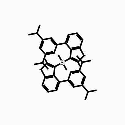 CC1=C([Si](C)(C)C2=C(C)[CH]c3cccc(-c4cc(C(C)C)cc(C(C)C)c4)c32)c2c(cccc2-c2cc(C(C)C)cc(C(C)C)c2)[CH]1